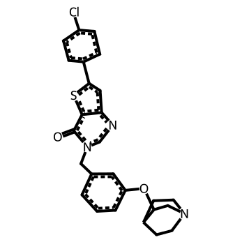 O=c1c2sc(-c3ccc(Cl)cc3)cc2ncn1Cc1cccc(OC2CN3CCC2CC3)c1